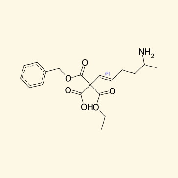 CCOC(=O)C(/C=C/CCC(C)N)(C(=O)O)C(=O)OCc1ccccc1